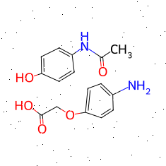 CC(=O)Nc1ccc(O)cc1.Nc1ccc(OCC(=O)O)cc1